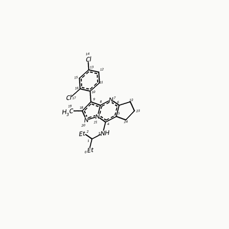 CCC(CC)Nc1c2c(nc3c(-c4ccc(Cl)cc4Cl)c(C)nn13)CCC2